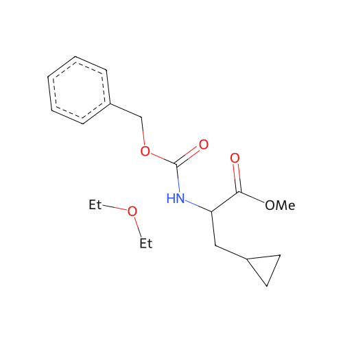 CCOCC.COC(=O)C(CC1CC1)NC(=O)OCc1ccccc1